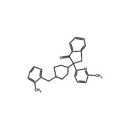 Cc1cccc(C2(C3CCN(Cc4ccccc4C)CC3)Cc3ccccc3C2=O)n1